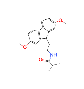 COc1ccc2c(c1)C(CCNC(=O)C(C)C)c1cc(OC)ccc1-2